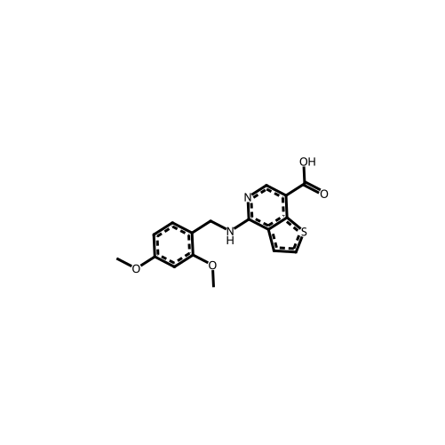 COc1ccc(CNc2ncc(C(=O)O)c3sccc23)c(OC)c1